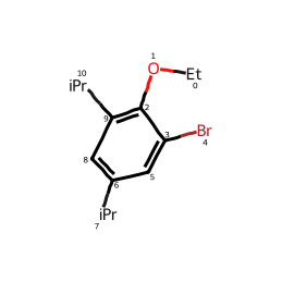 CCOc1c(Br)cc(C(C)C)cc1C(C)C